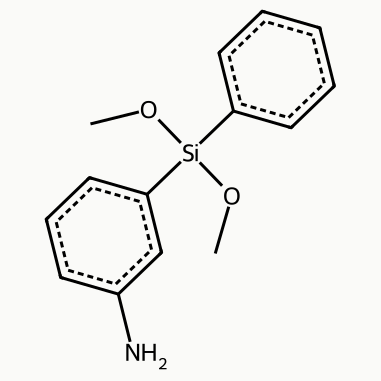 CO[Si](OC)(c1ccccc1)c1cccc(N)c1